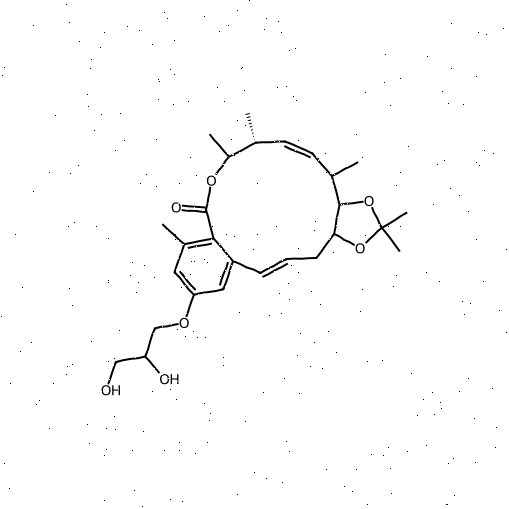 Cc1cc(OCC(O)CO)cc2c1C(=O)OC(C)[C@H](C)/C=C\C(C)C1OC(C)(C)OC1C/C=C/2